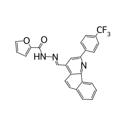 O=C(NN=Cc1cc(-c2ccc(C(F)(F)F)cc2)nc2c1ccc1ccccc12)c1ccco1